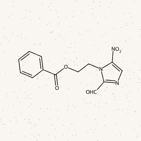 O=Cc1ncc([N+](=O)[O-])n1CCOC(=O)c1ccccc1